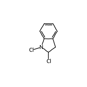 ClC1Cc2ccccc2N1Cl